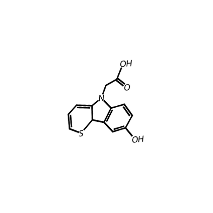 O=C(O)CN1C2=CC=CSC2c2cc(O)ccc21